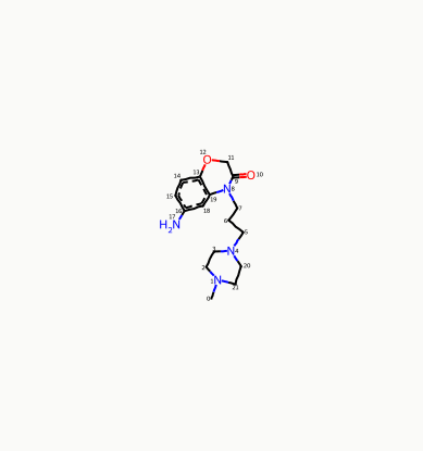 CN1CCN(CCCN2C(=O)COc3ccc(N)cc32)CC1